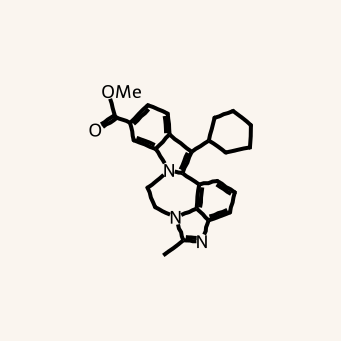 COC(=O)c1ccc2c(C3CCCCC3)c3n(c2c1)CCn1c(C)nc2cccc-3c21